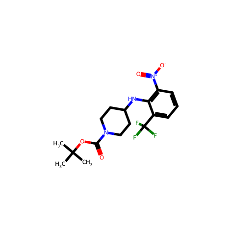 CC(C)(C)OC(=O)N1CCC(Nc2c([N+](=O)[O-])cccc2C(F)(F)F)CC1